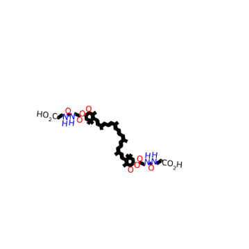 CC(C=CC=C(C)C=CC1=C(C)C(=O)C(OC(=O)CNC(=O)NCCC(=O)O)CC1(C)C)=CC=CC=C(C)C=CC=C(C)C=CC1=C(C)C(=O)C(OC(=O)CNC(=O)NCCC(=O)O)CC1(C)C